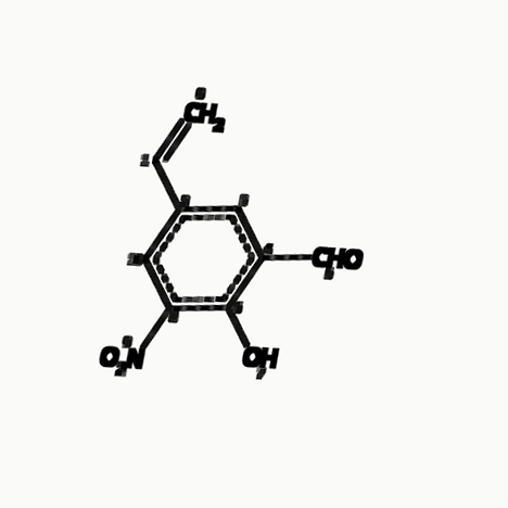 C=Cc1cc(C=O)c(O)c([N+](=O)[O-])c1